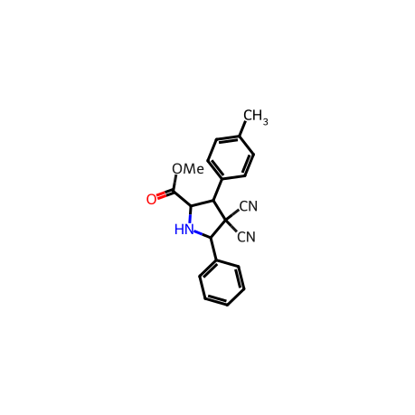 COC(=O)C1NC(c2ccccc2)C(C#N)(C#N)C1c1ccc(C)cc1